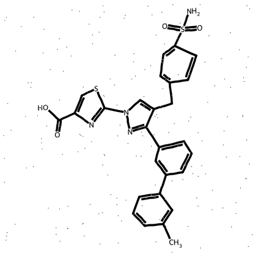 Cc1cccc(-c2cccc(-c3nn(-c4nc(C(=O)O)cs4)cc3Cc3ccc(S(N)(=O)=O)cc3)c2)c1